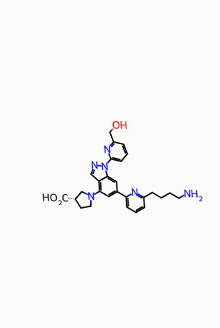 NCCCCc1cccc(-c2cc(N3CC[C@H](C(=O)O)C3)c3cnn(-c4cccc(CO)n4)c3c2)n1